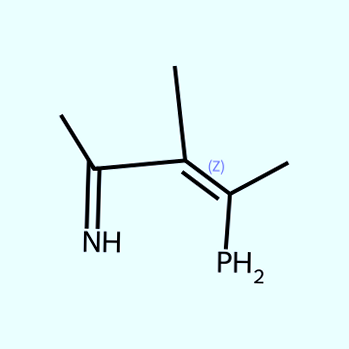 CC(=N)/C(C)=C(/C)P